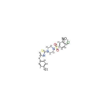 CCc1ccc(Cc2csc(N3CCN(S(=O)(=O)c4ccc(Cl)c([N+](=O)[O-])c4)CC3)n2)cc1